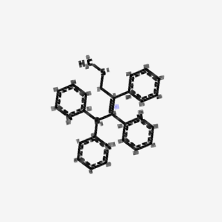 CSC/C(=C(\B(c1ccccn1)c1ccccn1)c1ccccn1)c1ccccc1